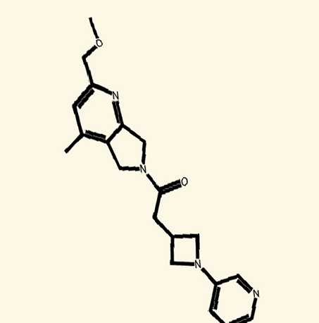 COCc1cc(C)c2c(n1)CN(C(=O)CC1CN(c3cccnc3)C1)C2